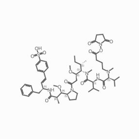 CC[C@H](C)[C@@H]([C@@H](CC(=O)N1CCC[C@H]1[C@H](OC)[C@@H](C)C(=O)N[C@H](C=Cc1ccc(S(=O)(=O)O)cc1)Cc1ccccc1)OC)N(C)C(=O)[C@@H](NC(=O)[C@H](C(C)C)N(C)CCCC(=O)ON1C(=O)CCC1=O)C(C)C